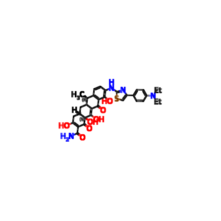 CCN(CC)c1ccc(-c2csc(Nc3ccc4c(c3O)C(=O)C3=C(O)[C@]5(O)C(=O)C(C(N)=O)=C(O)C[C@@H]5CC3[C@H]4C)n2)cc1